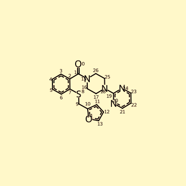 O=C(c1ccccc1SCc1ccco1)N1CCN(c2ncccn2)CC1